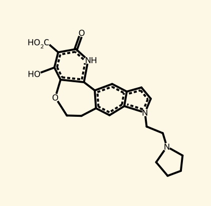 O=C(O)c1c(O)c2c([nH]c1=O)-c1cc3ccn(CCN4CCCC4)c3cc1CCO2